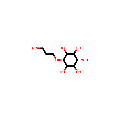 OCCCO[C@H]1C(O)C(O)[C@H](O)C(O)C1O